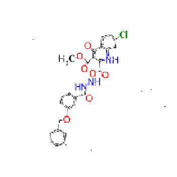 COC(=O)c1c(C(=O)ONNC(=O)c2cccc(OCc3ccccc3)c2)[nH]c2cc(Cl)ccc2c1=O